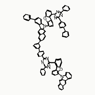 c1ccc(-c2ccc(-c3nc(-c4ccccc4)nc(-c4cccc5oc6c(-n7c8ccc(-c9ccccc9)cc8c8cc9cc(-c%10cccc(-c%11ccc(-c%12nc(-c%13ccccc%13)nc(-c%13cccc%14oc%15c(-n%16c%17ccccc%17c%17cc%18ccccc%18cc%17%16)cccc%15c%13%14)n%12)cc%11)c%10)ccc9cc87)cccc6c45)n3)cc2)cc1